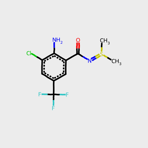 CS(C)=NC(=O)c1cc(C(F)(F)F)cc(Cl)c1N